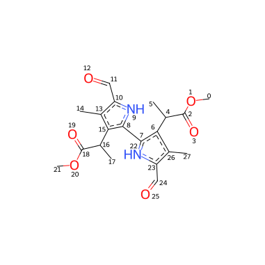 COC(=O)C(C)c1c(-c2[nH]c(C=O)c(C)c2C(C)C(=O)OC)[nH]c(C=O)c1C